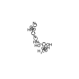 CS(=O)(=O)Nc1cc([C@H](O)CNC2CCN(c3ccc(NS(=O)(=O)c4cccnc4)cc3)CC2)ccc1O